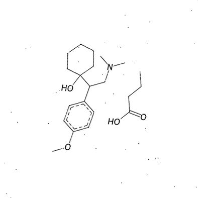 CCCC(=O)O.COc1ccc(C(CN(C)C)C2(O)CCCCC2)cc1